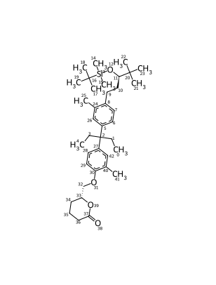 CCC(CC)(c1ccc(CC[C@@H](O[Si](C)(C)C(C)(C)C)C(C)(C)C)c(C)c1)c1ccc(OC[C@H]2CCCC(=O)O2)c(C)c1